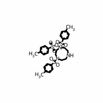 Cc1ccc(S(=O)(=O)O[N+]2(S(=O)(=O)c3ccc(C)cc3)CCNCCN(S(=O)(=O)c3ccc(C)cc3)CC2)cc1